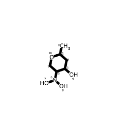 CC1CC(O)C(N(O)O)CO1